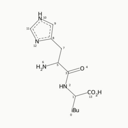 CCC(C)C(NC(=O)C(N)Cc1c[nH]cn1)C(=O)O